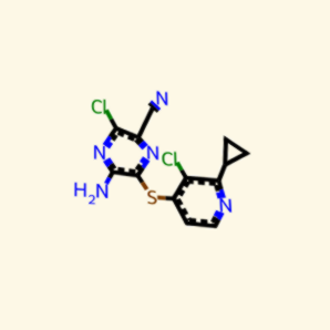 N#Cc1nc(Sc2ccnc(C3CC3)c2Cl)c(N)nc1Cl